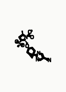 COC(=O)N1[C@H](C)C[C@H](S(C)(=O)=O)[C@H]1COC1CCC2(c3ncc(C#N)cn3)CC2C1